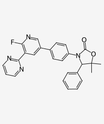 CC1(C)OC(=O)N(c2ccc(-c3cnc(F)c(-c4ncccn4)c3)cc2)C1c1ccccc1